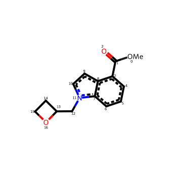 COC(=O)c1cccc2c1ccn2CC1CCO1